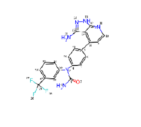 NC(=O)N(c1ccc(-c2ccnc3[nH]nc(N)c23)cc1)c1cccc(C(F)(F)F)c1